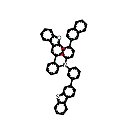 c1cc(-c2ccc3c(c2)sc2ccccc23)cc(N(c2ccc(-c3ccc4ccccc4c3)cc2)c2ccccc2-c2ccc3oc4ccccc4c3c2)c1